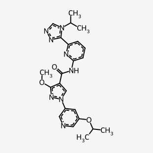 COc1nn(-c2cncc(OC(C)C)c2)cc1C(=O)Nc1cccc(-c2nncn2C(C)C)n1